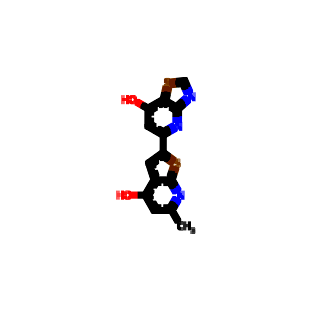 Cc1cc(O)c2cc(-c3cc(O)c4scnc4n3)sc2n1